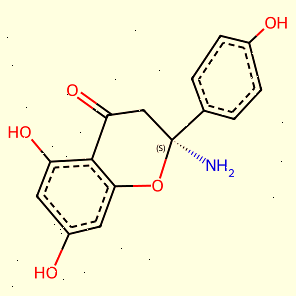 N[C@@]1(c2ccc(O)cc2)CC(=O)c2c(O)cc(O)cc2O1